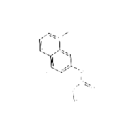 CCCO[PH](=O)Oc1ccc2ccc[n+](C)c2c1.[I-]